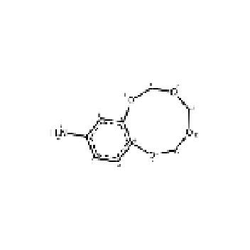 Nc1ccc2c(c1)OCOCOCO2